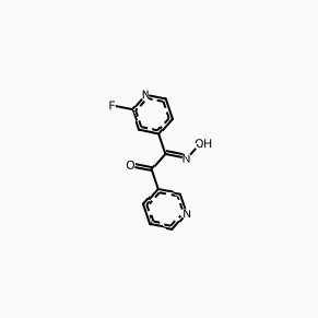 O=C(/C(=N/O)c1ccnc(F)c1)c1cccnc1